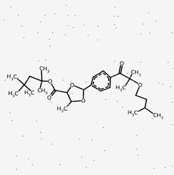 CC(C)CCOC(C)(C)C(=O)c1ccc(C2OC(C)C(C(=O)OC(C)(C)CC(C)(C)C)O2)cc1